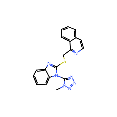 Cn1nnnc1-n1c(SCc2nccc3ccccc23)nc2ccccc21